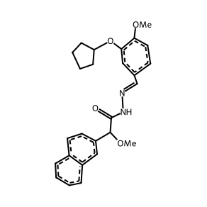 COc1ccc(/C=N/NC(=O)C(OC)c2ccc3ccccc3c2)cc1OC1CCCC1